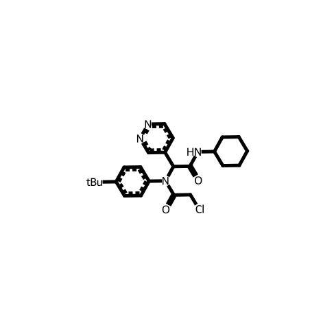 CC(C)(C)c1ccc(N(C(=O)CCl)C(C(=O)NC2CCCCC2)c2ccnnc2)cc1